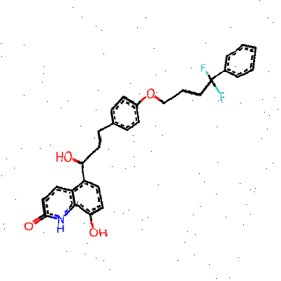 O=c1ccc2c(C(O)CCc3ccc(OCCCC(F)(F)c4ccccc4)cc3)ccc(O)c2[nH]1